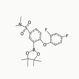 CN(C)S(=O)(=O)c1ccc(Oc2ccc(F)cc2F)c(B2OC(C)(C)C(C)(C)O2)c1